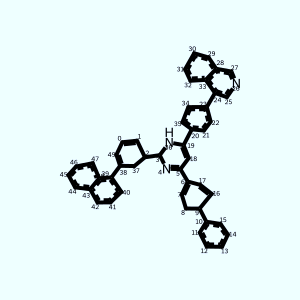 C1=CC(C2N=C(C3=CCC(c4ccccc4)C=C3)C=C(c3ccc(-c4cncc5ccccc45)cc3)N2)CC(c2cccc3ccccc23)=C1